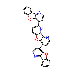 c1ccc2c(c1)oc1c(-c3ccc4oc5c(-c6ccnc7c6oc6ccccc67)ccnc5c4n3)ccnc12